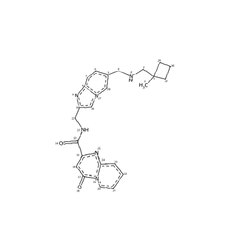 CC1(CNCc2ccc3nc(CNC(=O)c4cc(=O)n5ccccc5n4)cn3c2)CCC1